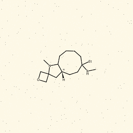 CBC1(CC)CCCCC2[C@H](CC1)CC1(COC1)N2C